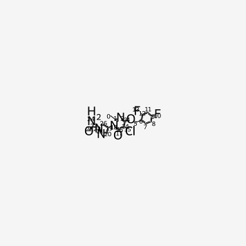 Cc1nc(OCc2ccc(F)cc2F)c(Cl)c(=O)n1-c1cnn(C(N)=O)c1